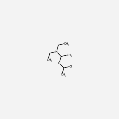 CCN(CC)C(C)OC(C)Cl